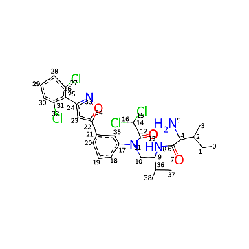 CCC(C)C(N)C(=O)NC(CN(C(=O)C(Cl)Cl)c1cccc(-c2cc(-c3c(Cl)cccc3Cl)no2)c1)C(C)C